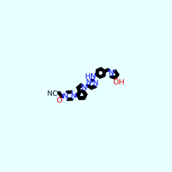 N#CCC(=O)N1CCN(c2cccc3c2ccn3-c2ccnc(NC3CCC(CN4CCC(O)C4)CC3)n2)CC1